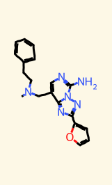 CN(CCc1ccccc1)Cc1cnc(N)n2nc(-c3ccco3)nc12